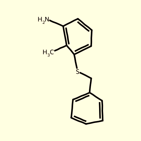 Cc1c(N)cccc1SCc1ccccc1